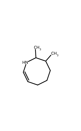 CC1CCC/C=C\NC1C